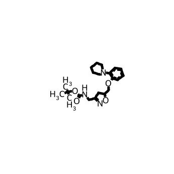 CC(C)(C)OC(=O)NCC1=NOC(COc2ccccc2N2CCCCC2)C1